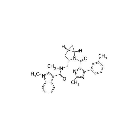 Cc1cccc(-c2sc(C)nc2C(=O)N2[C@H](CNC(=O)c3c(C)n(C)c4ccccc34)C[C@@H]3C[C@@H]32)c1